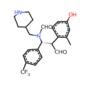 Cc1cc(O)ccc1C(C=O)[C@H](c1ccc(C(F)(F)F)cc1)N(C=O)CC1CCNCC1